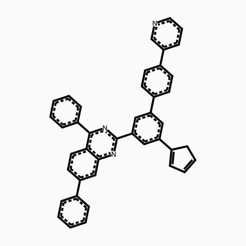 C1=CCC(c2cc(-c3ccc(-c4cccnc4)cc3)cc(-c3nc(-c4ccccc4)c4ccc(-c5ccccc5)cc4n3)c2)=C1